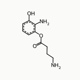 NCCCC(=O)Oc1cccc(O)c1N